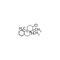 CC1(C)C(Cl)CC[C@]2(C)c3ccccc3CC[C@@H]12